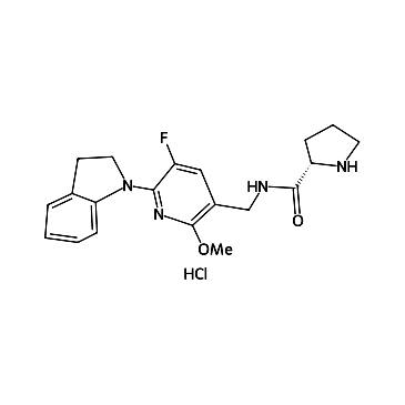 COc1nc(N2CCc3ccccc32)c(F)cc1CNC(=O)[C@@H]1CCCN1.Cl